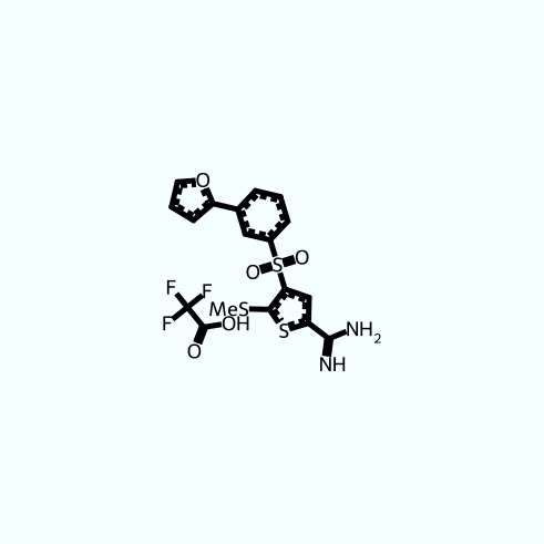 CSc1sc(C(=N)N)cc1S(=O)(=O)c1cccc(-c2ccco2)c1.O=C(O)C(F)(F)F